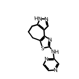 c1cnc(Nc2nc3c(s2)CCCc2[nH]ncc2-3)cn1